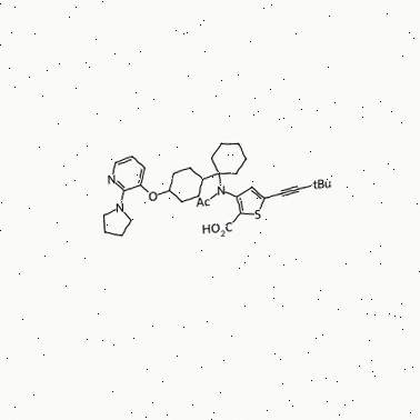 CC(=O)N(c1cc(C#CC(C)(C)C)sc1C(=O)O)C1(C2CCC(Oc3cccnc3N3CCCC3)CC2)CCCCC1